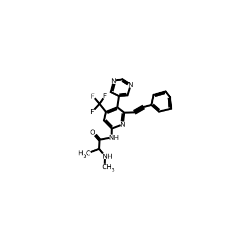 CNC(C)C(=O)Nc1cc(C(F)(F)F)c(-c2cncnc2)c(C#Cc2ccccc2)n1